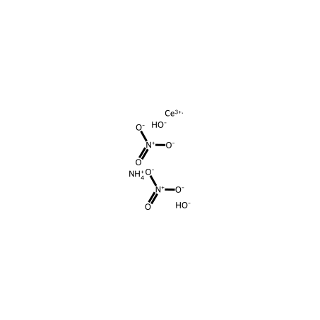 O=[N+]([O-])[O-].O=[N+]([O-])[O-].[Ce+3].[NH4+].[OH-].[OH-]